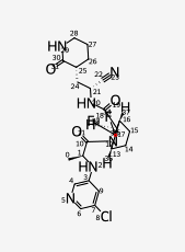 C[C@H](Nc1cncc(Cl)c1)C(=O)N1[C@H]2CC[C@@H]([C@@H]1C(=O)N[C@@H](C#N)C[C@H]1CCCNC1=O)C(F)(F)C2